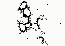 C=CC(=O)N[C@H]1CC(=CC)c2c(-c3cnc4ccccc4c3)c3c(N)ncnc3n2C1